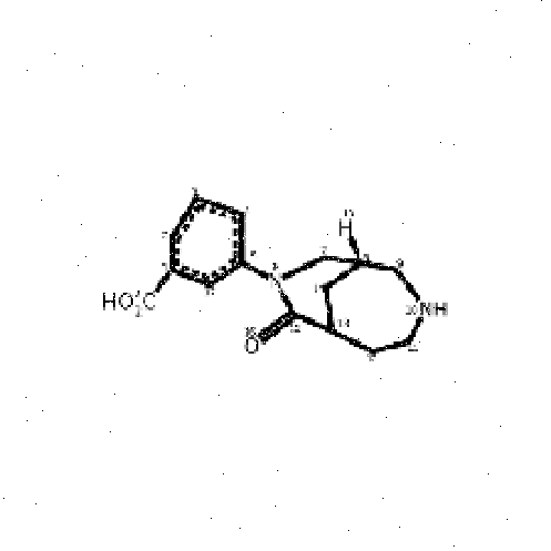 O=C(O)c1cccc(N2C[C@@H]3CNCCC(C3)C2=O)c1